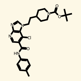 Cc1ccc(NC(=O)c2cnc3ncn(CCC4CCN(C(=O)OC(C)(C)C)CC4)c3c2Cl)cc1